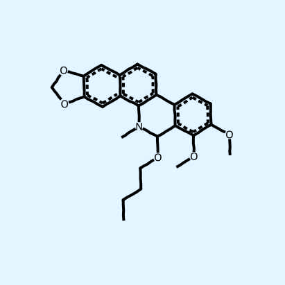 CCCCOC1c2c(ccc(OC)c2OC)-c2ccc3cc4c(cc3c2N1C)OCO4